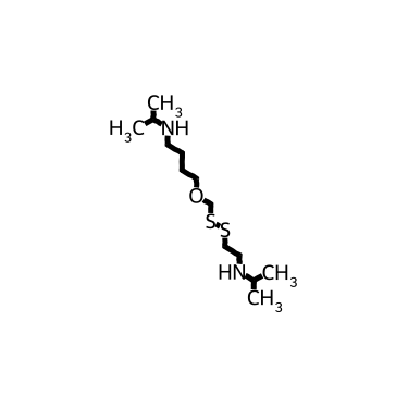 CC(C)NCCCCOCSSCCNC(C)C